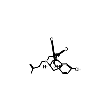 C=C(C)CCN1CC[C@]23CC(=O)NC(=O)NCC[C@@]2(O)[C@H]1Cc1ccc(O)cc13